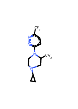 CC1CN(C2CC2)CCN1c1ccc(C(F)(F)F)nn1